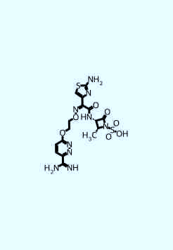 C[C@H]1[C@H](NC(=O)C(=NOCCOc2ccc(C(=N)N)nn2)c2csc(N)n2)C(=O)N1S(=O)(=O)O